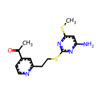 CSc1cc(N)nc(SCCc2cc(C(C)=O)ccn2)n1